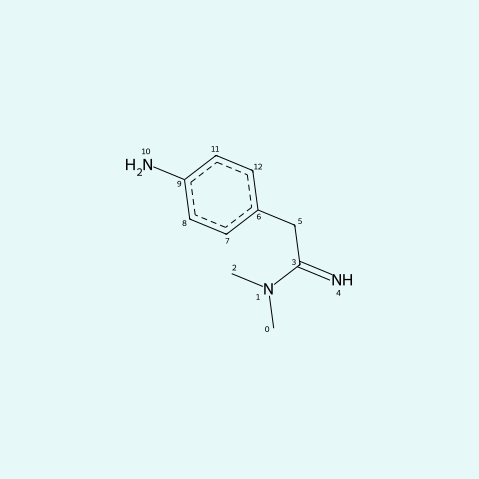 CN(C)C(=N)Cc1ccc(N)cc1